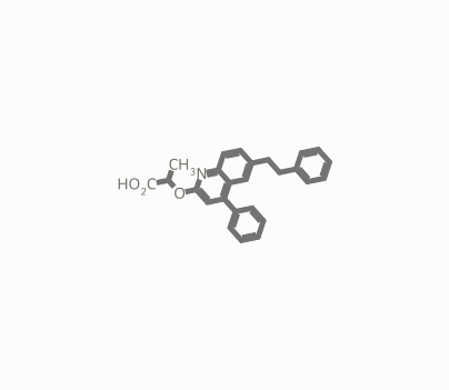 CC(Oc1cc(-c2ccccc2)c2cc(CCc3ccccc3)ccc2n1)C(=O)O